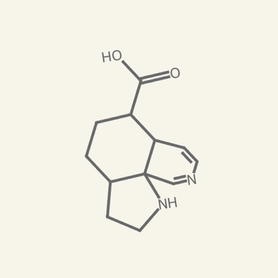 O=C(O)C1CCC2CCNC23C=NC=CC13